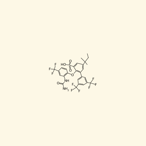 CCC(C)(C)c1cc(-c2cc(C(F)(F)F)cc(C(F)(F)F)c2)c(Oc2ccc(C(F)(F)F)cc2NC(N)=O)c(S(=O)(=O)O)c1